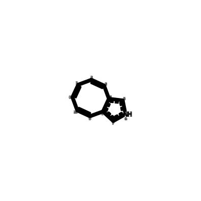 C1=C\C=C/c2c[nH]cc2\C=C/1